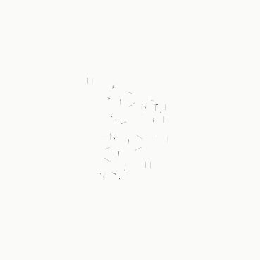 CCc1cc(OC)c(F)c([C@@H](Nc2ccc3c(N)nccc3c2)C(=O)N2CCC[C@@H]2c2cc(N(OC(=O)C(F)(F)F)C(=O)OC)ccc2S(=O)(=O)CC)c1